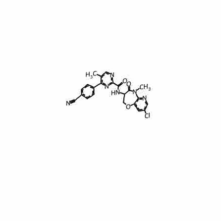 Cc1cnc(C(=O)NC2COc3cc(Cl)cnc3N(C)C2=O)nc1-c1ccc(C#N)cc1